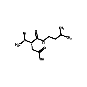 CC(=O)N(C)[C@@H](CC(=O)C(C)(C)C)C(=O)NCCN(C)C